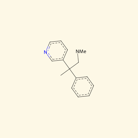 CNCC(C)(c1ccccc1)c1cccnc1